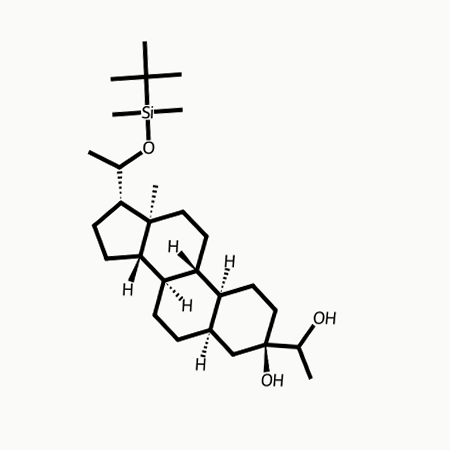 CC(O[Si](C)(C)C(C)(C)C)[C@H]1CC[C@H]2[C@@H]3CC[C@@H]4C[C@@](O)(C(C)O)CC[C@@H]4[C@H]3CC[C@]12C